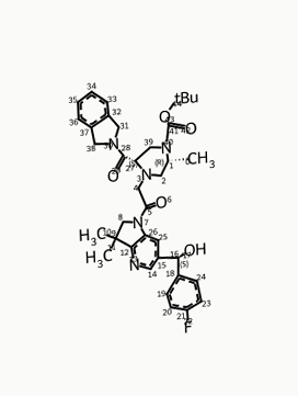 C[C@@H]1CN(CC(=O)N2CC(C)(C)c3ncc([C@@H](O)c4ccc(F)cc4)cc32)[C@H](C(=O)N2Cc3ccccc3C2)CN1C(=O)OC(C)(C)C